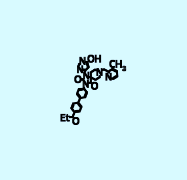 CCC(=O)c1ccc(-c2ccc(N3C(=O)N(c4cc(O)ncn4)C4(CCN(Cc5ncccc5C)CC4)C3=O)cc2)cc1